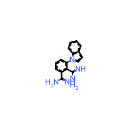 N=C(N)c1cccc(-n2ccc3ccccc32)c1C(=N)N